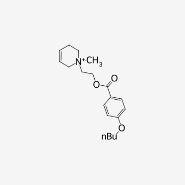 CCCCOc1ccc(C(=O)OCC[N+]2(C)CC=CCC2)cc1